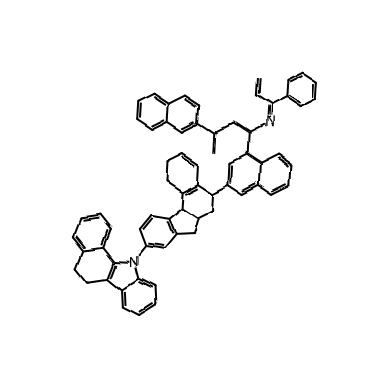 C=C/C(=N\C(CC(C)c1ccc2ccccc2c1)C1C=C(C2CC3Cc4cc(-n5c6c(c7ccccc75)CCc5ccccc5-6)ccc4C3C3=C2C=CCC3)C=C2C=CC=CC21)c1ccccc1